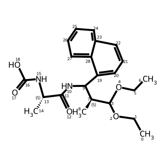 CCOC(OCC)[C@@H](C)C(NC(=O)[C@H](C)NC(=O)O)c1cccc2ccccc12